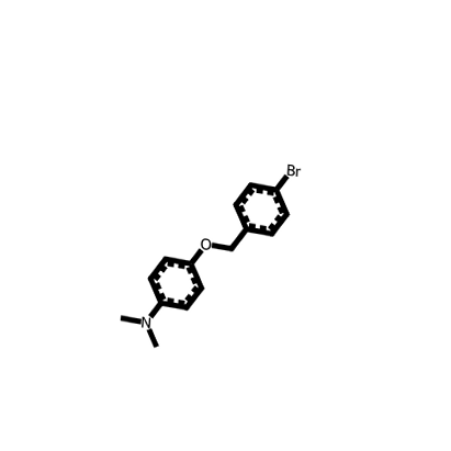 CN(C)c1ccc(OCc2ccc(Br)cc2)cc1